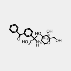 CC(N[C@H]1[CH]O[C@H](CO)[C@@H](O)[C@@H]1O)(C(=O)O)c1cccc(C(=O)c2ccccc2)c1